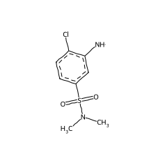 CN(C)S(=O)(=O)c1ccc(Cl)c([NH])c1